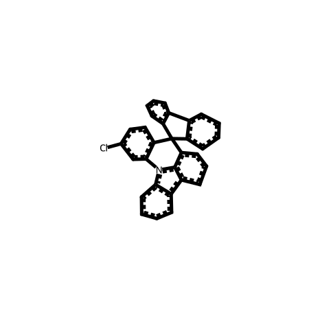 Clc1ccc2c(c1)-n1c3ccccc3c3cccc(c31)C21c2ccccc2-c2ccccc21